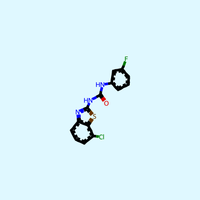 O=C(Nc1cccc(F)c1)Nc1nc2cccc(Cl)c2s1